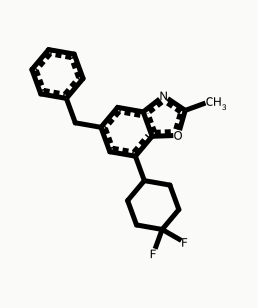 Cc1nc2cc(Cc3ccccc3)cc(C3CCC(F)(F)CC3)c2o1